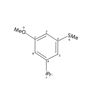 COc1cc(SC)cc([C](C)C)c1